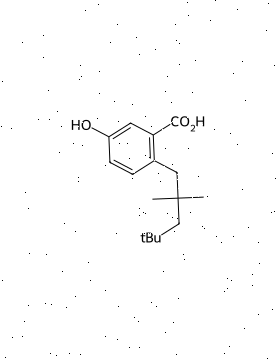 CC(C)(C)CC(C)(C)Cc1ccc(O)cc1C(=O)O